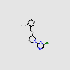 FC(F)(F)c1ccccc1CCC1CCCN(c2cncc(Br)n2)C1